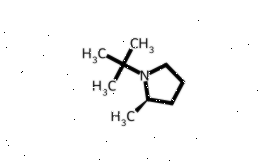 C[C@@H]1CCCN1C(C)(C)C